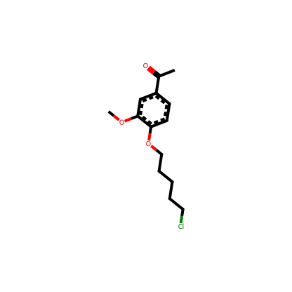 COc1cc(C(C)=O)ccc1OCCCCCCl